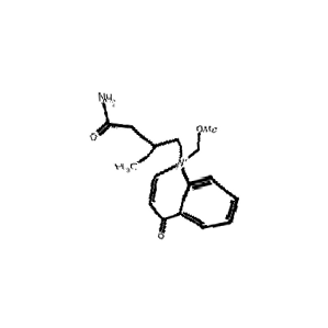 COC[N+]1(CC(C)CC(N)=O)C=CC(=O)c2ccccc21